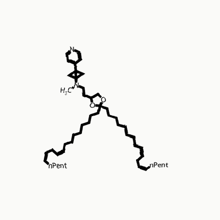 CCCCC/C=C\C/C=C\CCCCCCCCC1(CCCCCCCC/C=C\C/C=C\CCCCC)OCC(CCN(C)C23CC2(c2ccncc2)C3)O1